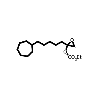 CCOC(=O)OC1(CCCCCC2CCCCCC2)CO1